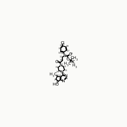 C[C@@H]1C[C@@H](O)c2ncnc(N3CCN(C(=O)CCN(C(=O)OC(C)(C)C)c4ccc(Cl)cc4)CC3)c21